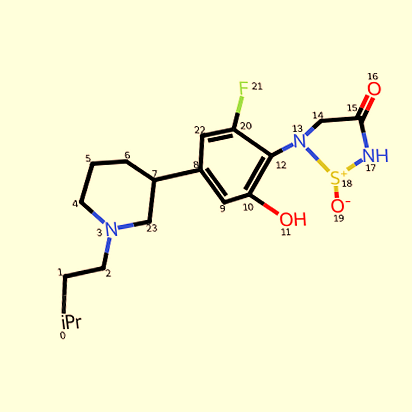 CC(C)CCN1CCCC(c2cc(O)c(N3CC(=O)N[S+]3[O-])c(F)c2)C1